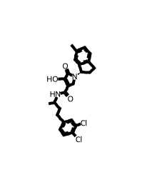 Cc1ccc2c(c1)[C@@H](N1CC(C(=O)NC(C)CCc3ccc(Cl)c(Cl)c3)=C(O)C1=O)CC2